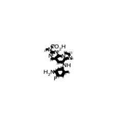 Cc1cc(F)c(N)cc1NC1=Cc2cnc(N(C)C(=O)O)nc2N2CCN=C12